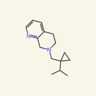 CC(C)C1(CN2CCc3cccnc3C2)CC1